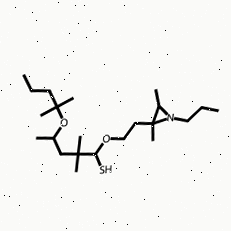 CCCN1C(C)C1(C)CCOC(S)C(C)(C)CC(C)OC(C)(C)CCC